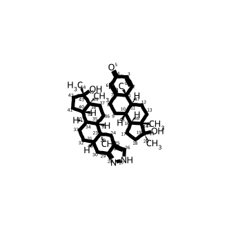 C[C@]12C=CC(=O)C=C1CC[C@@H]1[C@@H]2CC[C@@]2(C)[C@H]1CC[C@]2(C)O.C[C@]12Cc3c[nH]nc3C[C@@H]1CC[C@@H]1[C@@H]2CC[C@@]2(C)[C@H]1CC[C@]2(C)O